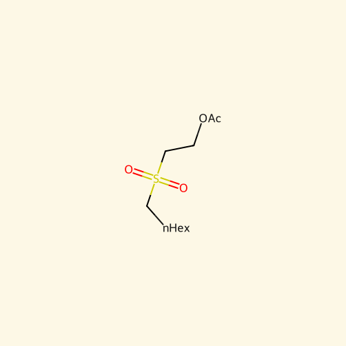 CCCCCCCS(=O)(=O)CCOC(C)=O